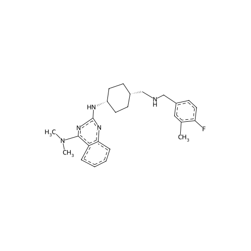 Cc1cc(CNC[C@H]2CC[C@@H](Nc3nc(N(C)C)c4ccccc4n3)CC2)ccc1F